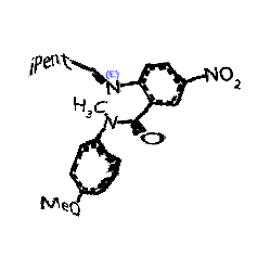 CCCC(C)/C=N/c1ccc([N+](=O)[O-])cc1C(=O)N(C)c1ccc(OC)cc1